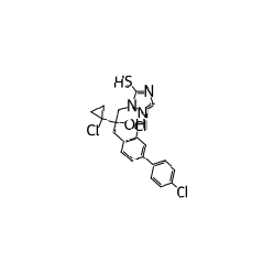 OC(Cc1ccc(-c2ccc(Cl)cc2)cc1Cl)(Cn1ncnc1S)C1(Cl)CC1